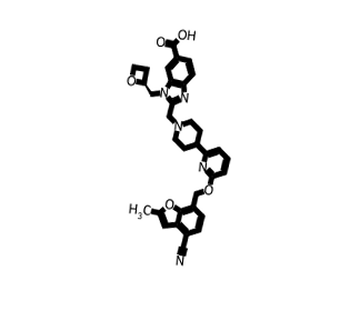 Cc1cc2c(C#N)ccc(COc3cccc(C4CCN(Cc5nc6ccc(C(=O)O)cc6n5C[C@@H]5CCO5)CC4)n3)c2o1